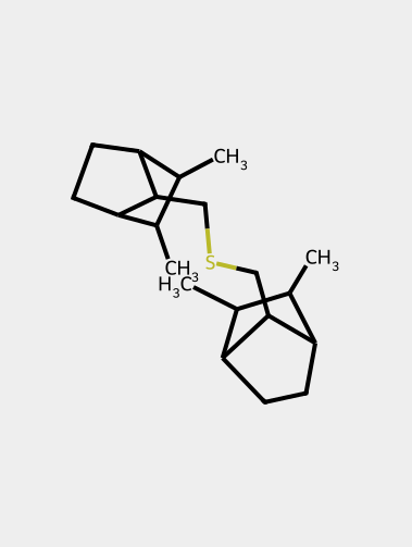 CC1C(C)C2CCC1C2CSCC1C2CCC1C(C)C2C